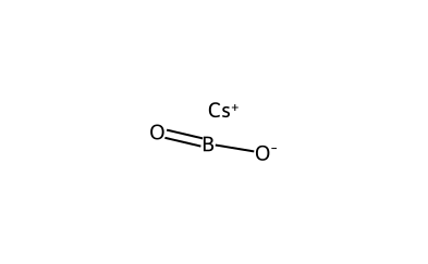 O=B[O-].[Cs+]